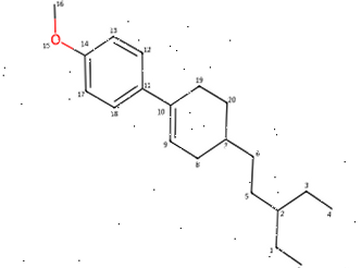 CCC(CC)CCC1CC=C(c2ccc(OC)cc2)CC1